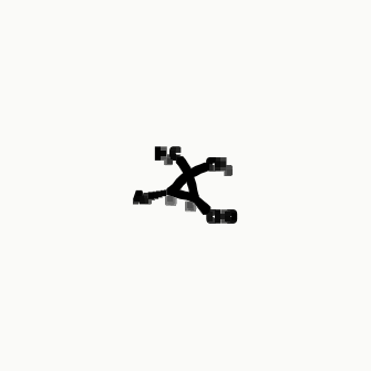 CC(=O)[C@H]1[C@H](C=O)C1(C)C